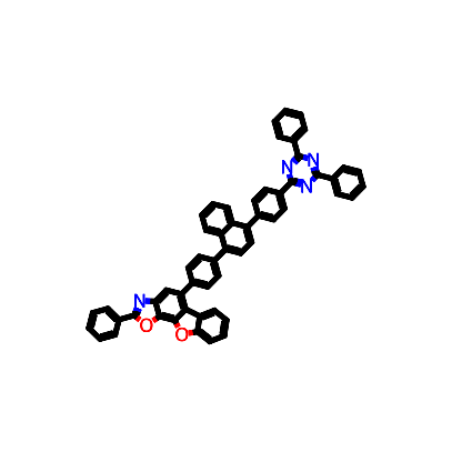 c1ccc(-c2nc(-c3ccccc3)nc(-c3ccc(-c4ccc(-c5ccc(-c6cc7nc(-c8ccccc8)oc7c7oc8ccccc8c67)cc5)c5ccccc45)cc3)n2)cc1